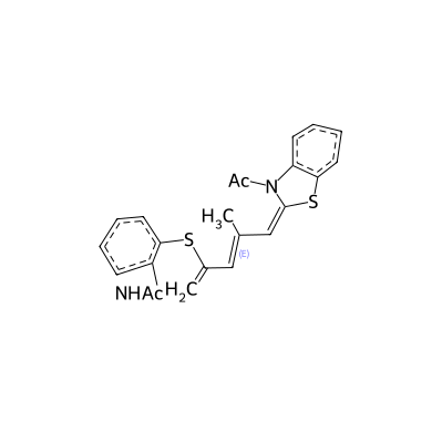 C=C(/C=C(\C)C=C1Sc2ccccc2N1C(C)=O)Sc1ccccc1NC(C)=O